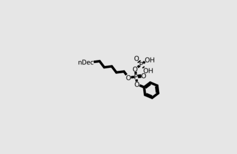 CCCCCCCCCCCCCCCOP(=O)(Oc1ccccc1)OP(=O)(O)O